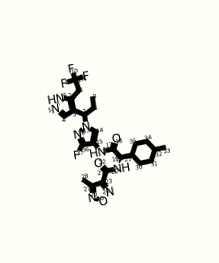 CCC(c1cn[nH]c1CC(F)(F)F)n1cc(NC(=O)[C@@H](NC(=O)c2nonc2C)C2CCC(C)CC2)c(F)n1